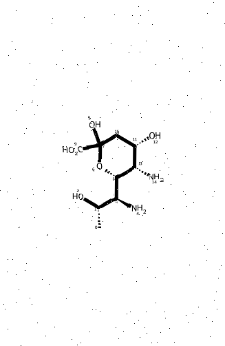 C[C@H](O)[C@H](N)[C@@H]1OC(O)(C(=O)O)C[C@H](O)[C@@H]1N